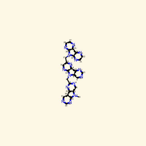 Cn1c2cnc(Cn3c4cncnc4c4nc(Cn5c6nccnc6c6nccnc65)cnc43)nc2c2cncnc21